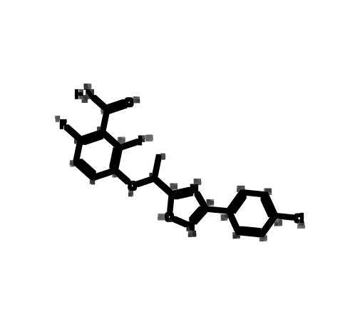 CC(Oc1ccc(F)c(C(N)=O)c1F)c1nc(-c2ccc(Cl)cc2)no1